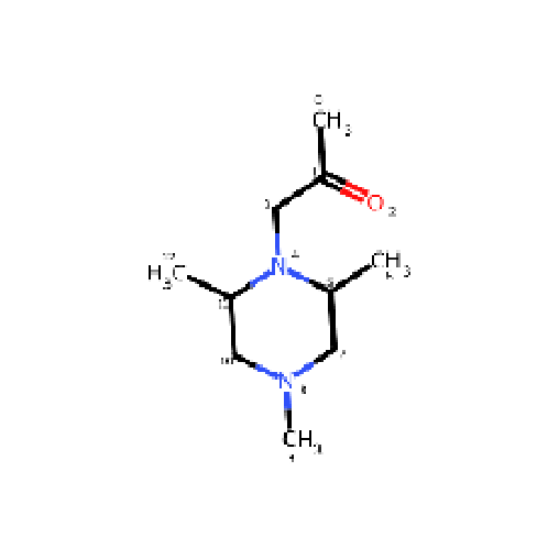 CC(=O)CN1C(C)CN(C)CC1C